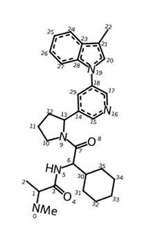 CNC(C)C(=O)NC(C(=O)N1CCCC1c1cncc(-n2cc(C)c3ccccc32)c1)C1CCCCC1